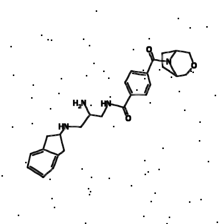 NC(CNC(=O)c1ccc(C(=O)N2C3CCC2COC3)cc1)CNC1Cc2ccccc2C1